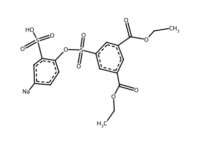 CCOC(=O)c1cc(C(=O)OCC)cc(S(=O)(=O)Oc2cc[c]([Na])cc2S(=O)(=O)O)c1